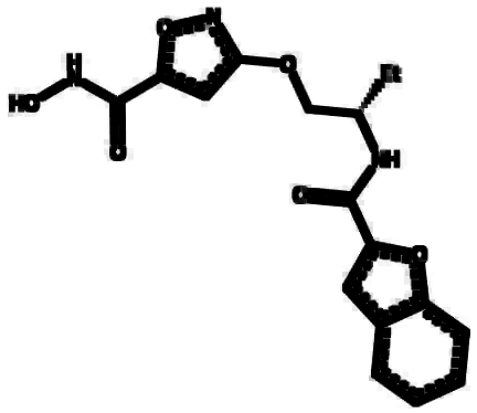 CC[C@@H](COc1cc(C(=O)NO)on1)NC(=O)c1cc2ccccc2o1